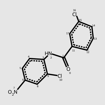 O=C(Nc1ccc([N+](=O)[O-])cc1Cl)c1[c]ccc(Cl)c1